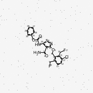 NC(=O)c1c(OCc2c(CF)ccc(Cl)c2CF)nsc1NC(=O)Oc1ccccc1